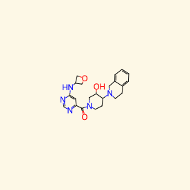 O=C(c1cc(NC2COC2)ncn1)N1CCC(N2CCc3ccccc3C2)C(O)C1